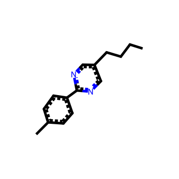 CCCCc1cnc(-c2ccc(C)cc2)nc1